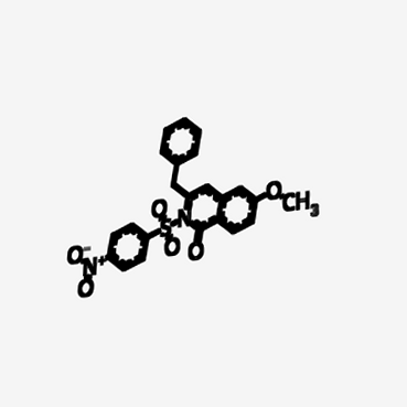 COc1ccc2c(=O)n(S(=O)(=O)c3ccc([N+](=O)[O-])cc3)c(Cc3ccccc3)cc2c1